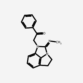 CN=c1n(CC(=O)c2ccccc2)c2cccc3c2n1CC3